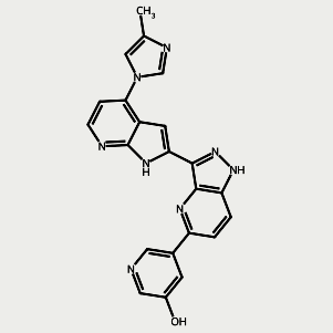 Cc1cn(-c2ccnc3[nH]c(-c4n[nH]c5ccc(-c6cncc(O)c6)nc45)cc23)cn1